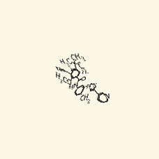 COc1c(C#N)cc(C(C)(C)C)cc1C(=O)Nc1ccc(C)c(-n2cnc(-c3cccnc3)c2)c1